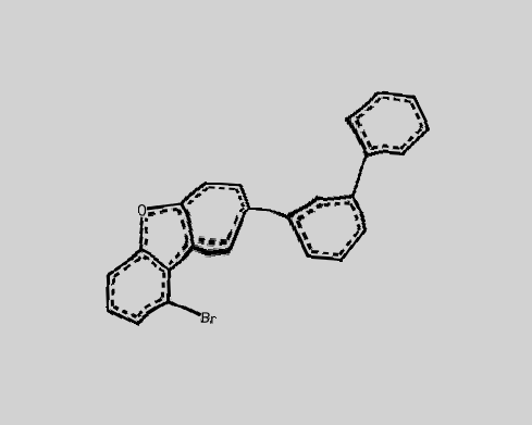 Brc1cccc2oc3ccc(-c4cccc(-c5ccccc5)c4)cc3c12